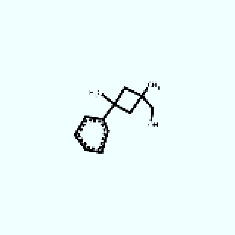 CC1(CO)CC(C)(c2ccccc2)C1